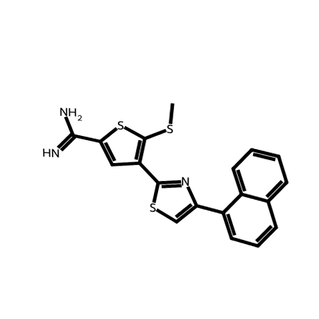 CSc1sc(C(=N)N)cc1-c1nc(-c2cccc3ccccc23)cs1